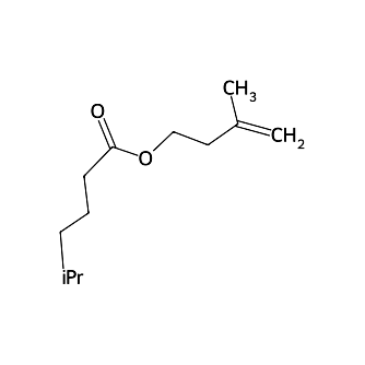 C=C(C)CCOC(=O)CCCC(C)C